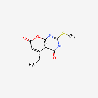 CCc1cc(=O)oc2nc(SC)[nH]c(=O)c12